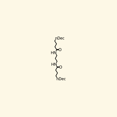 CCCCCCCCCCCCCC(=O)NCCCNC(=O)CCCCCCCCCCCCC